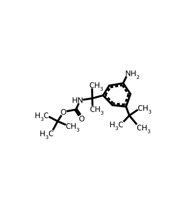 CC(C)(C)OC(=O)NC(C)(C)c1cc(N)cc(C(C)(C)C)c1